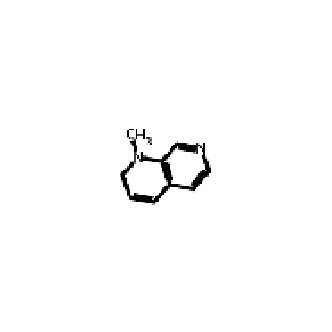 CN1CC=Cc2ccncc21